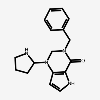 O=C1c2[nH]ccc2N(C2CCCN2)CN1Cc1ccccc1